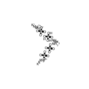 N.N.N.O=P(O)(O)O.O=P([O-])([O-])[O-].O=P([O-])([O-])[O-].O=P([O-])([O-])[O-].[K+].[K+].[K+].[Mg+2].[Mg+2].[Mg+2]